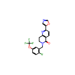 O=C1c2ccc(-c3cnco3)nc2CCN1Cc1cc(OC(F)(F)F)ccc1F